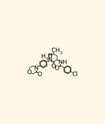 CC(C)CC(NC(=O)c1ccc(Cl)cc1)C(=O)Nc1ccc(N2CCOCC2=O)cc1